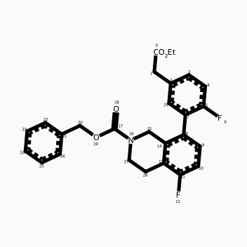 CCOC(=O)Cc1ccc(F)c(-c2ccc(F)c3c2CN(C(=O)OCc2ccccc2)CC3)c1